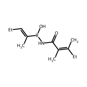 CC/C=C(\C)B(O)NC(=O)/C(C)=C(\C)CC